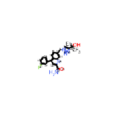 CCC(O)(c1cn(Cc2ccc3c(-c4cccc(F)c4)cc(C(N)=O)nc3c2)nn1)C(F)(F)F